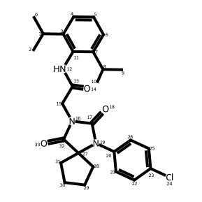 CC(C)c1cccc(C(C)C)c1NC(=O)CN1C(=O)N(c2ccc(Cl)cc2)C2(CCCC2)C1=O